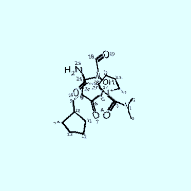 CN(C)C(=O)[N+]1(C(=O)[C@H](CC2CCCC2)CN(O)C=O)CCC[C@H]1C(N)=O